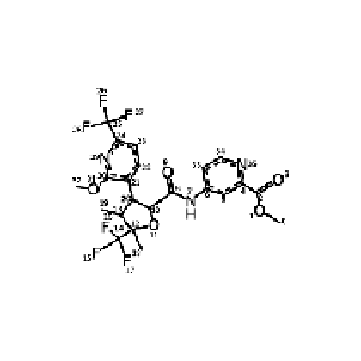 COC(=O)c1cc(NC(=O)C2OC(C)(C(F)(F)F)C(C)C2c2ccc(C(F)(F)F)nc2OC)ccn1